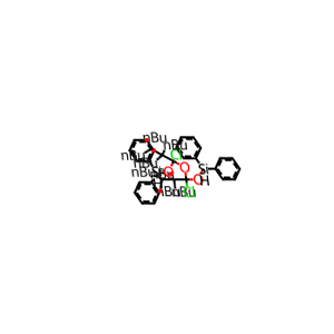 CCCCC(CCCC)C(CCCC)(CCCC)C(Cl)(O[SiH](c1ccccc1)c1ccccc1)OC(Cl)(O[SiH](c1ccccc1)c1ccccc1)C(CCCC)(CCCC)C(CCCC)CCCC